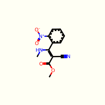 CN/C(=C(/C#N)C(=O)OC)c1ccccc1[N+](=O)[O-]